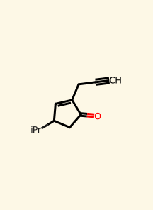 C#CCC1=CC(C(C)C)CC1=O